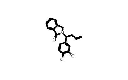 C=CCC(c1ccc(Cl)c(Cl)c1)N1Cc2ccccc2C1=O